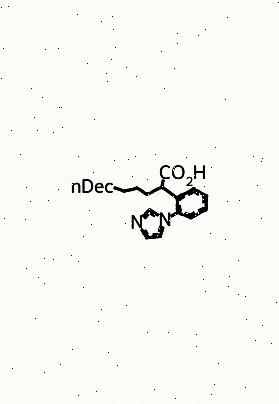 CCCCCCCCCCCCCC(C(=O)O)c1ccccc1-n1ccnc1